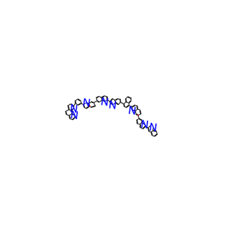 c1cc(-c2ccc3ccc(-c4ccc5ccc(-c6cnc7cc(-c8ccc(-c9ccc%10ccc(-c%11ccc%12ccc(-c%13cnc%14ccccc%14c%13)nc%12c%11)cc%10n9)c9ccccc89)ccc7c6)nc5c4)cc3n2)cc(-c2ccc3ccc4cccnc4c3n2)c1